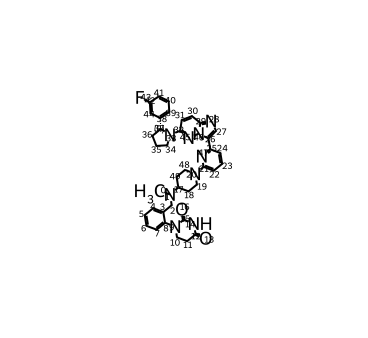 CN(Cc1ccccc1N1CCC(=O)NC1=O)C1CCN(c2cccc(-c3cnc4ccc(N5CCC[C@@H]5c5cccc(F)c5)nn34)n2)CC1